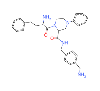 NCc1ccc(CNC(=O)C2CN(c3ccccc3)CCN2C(=O)C(N)CCc2ccccc2)cc1